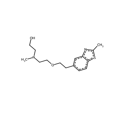 Cc1nc2cc(CCOCCN(C)CCO)ccc2s1